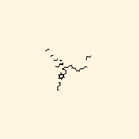 CC(C)C[C@H](N)C(=O)O.CC(C)[C@H](N)C(=O)O.C[C@@H](O)[C@H](N)C(=O)O.Cc1c(C)c2c(c(C)c1OC(=O)CC[C@H](N)C(=O)O)CCC(C)(CCCC(C)CCCC(C)CCCC(C)C)O2.N[C@@H](CCC(=O)O)C(=O)O.N[C@@H](Cc1c[nH]cn1)C(=O)O